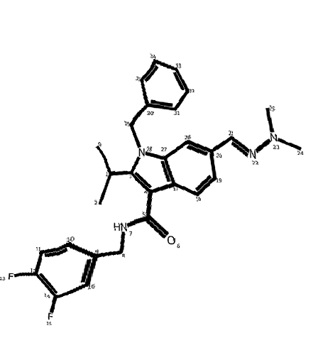 CC(C)c1c(C(=O)NCc2ccc(F)c(F)c2)c2ccc(/C=N/N(C)C)cc2n1Cc1ccccc1